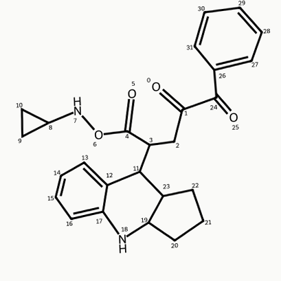 O=C(CC(C(=O)ONC1CC1)C1c2ccccc2NC2CCCC21)C(=O)c1ccccc1